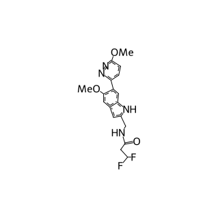 COc1ccc(-c2cc3[nH]c(CNC(=O)CC(F)F)cc3cc2OC)nn1